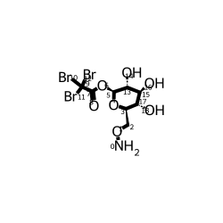 NOC[C@H]1O[C@@H](OC(=O)C(Br)(Br)Br)[C@H](O)[C@@H](O)[C@@H]1O